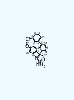 COc1ccc(C2(c3cccc(-c4cccc(Cl)c4)c3)COC(N)=N2)cc1